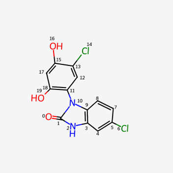 O=c1[nH]c2cc(Cl)ccc2n1-c1cc(Cl)c(O)cc1O